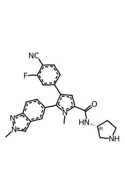 Cn1cc2cc(-c3c(-c4ccc(C#N)c(F)c4)cc(C(=O)N[C@@H]4CCNC4)n3C)ccc2n1